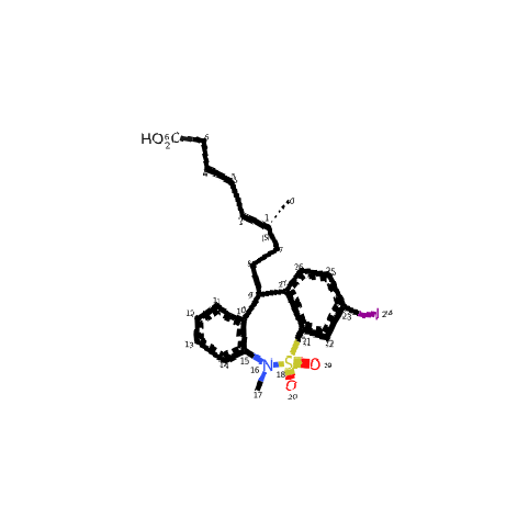 C[C@@H](CCCCC(=O)O)CCC1c2ccccc2N(C)S(=O)(=O)c2cc(I)ccc21